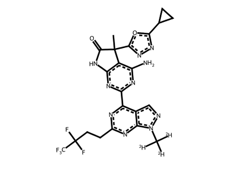 [2H]C([2H])([2H])n1ncc2c(-c3nc(N)c4c(n3)NC(=O)C4(C)c3nnc(C4CC4)o3)nc(CCC(F)(F)C(F)(F)F)nc21